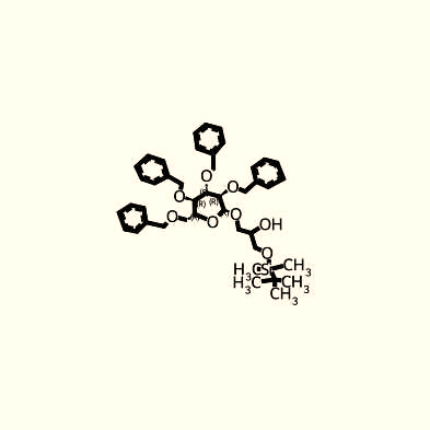 CC(C)(C)[Si](C)(C)OCC(O)CO[C@@H]1O[C@H](COCc2ccccc2)[C@@H](OCc2ccccc2)[C@H](OCc2ccccc2)[C@H]1OCc1ccccc1